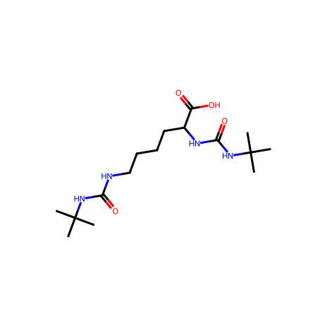 CC(C)(C)NC(=O)NCCCCC(NC(=O)NC(C)(C)C)C(=O)O